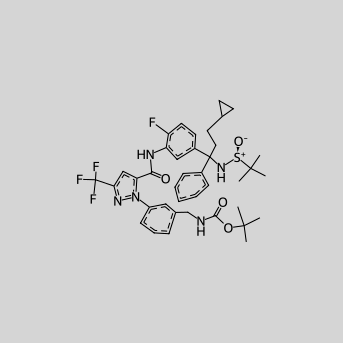 CC(C)(C)OC(=O)NCc1cccc(-n2nc(C(F)(F)F)cc2C(=O)Nc2cc(C(CCC3CC3)(N[S@@+]([O-])C(C)(C)C)c3ccccc3)ccc2F)c1